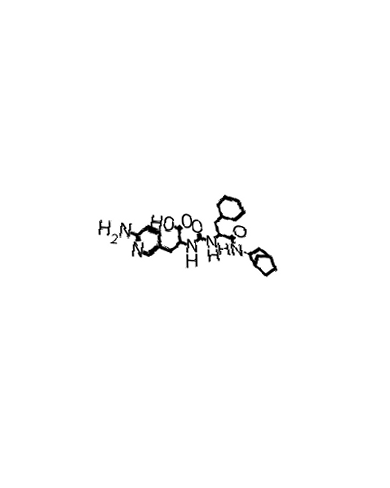 Nc1ccc(CC(NC(=O)NC(CC2CCCCC2)C(=O)N[C@@H]2CC3CCC2C3)C(=O)O)cn1